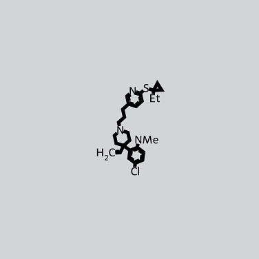 C=CC1(c2cc(Cl)ccc2NC)CCN(CCCc2ccc(SC3(CC)CC3)nc2)CC1